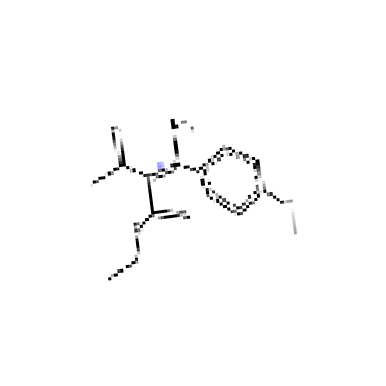 CCOC(=O)/C(C(C)=O)=C(/N)c1ccc(OC)cc1